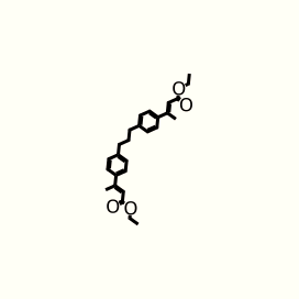 CCOC(=O)C=C(C)c1ccc(CCCc2ccc(C(C)=CC(=O)OCC)cc2)cc1